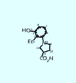 CCc1c(O)cccc1N1CCC(C(=O)O)C1